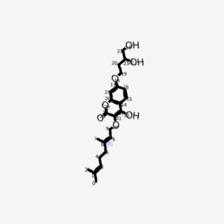 CC(C)=CCC/C(C)=C/COc1c(O)c2ccc(OCCC(O)CO)cc2oc1=O